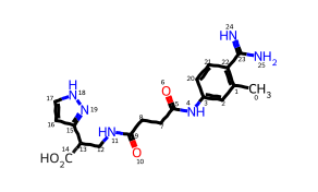 Cc1cc(NC(=O)CCC(=O)NCC(C(=O)O)c2cc[nH]n2)ccc1C(=N)N